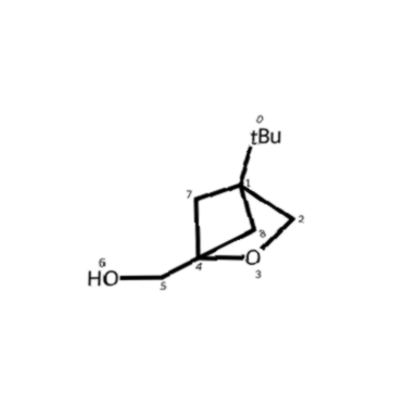 CC(C)(C)C12COC(CO)(C1)C2